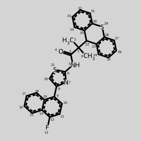 CC(C)(C(=O)Nc1nc(-c2ccc(F)c3ccccc23)cs1)C1c2ccccc2Sc2ccccc21